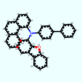 c1ccc(-c2ccc(N(c3cccc4c3oc3ccccc34)c3cccc4ccc5ccccc5c34)cc2)cc1